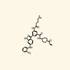 C=CC(=O)N1CCC(NC(=O)c2cc(NC(=O)CCCN(C)C)cc(-c3n[nH]c4cc(Nc5ccccc5Cl)ccc34)c2)CC1